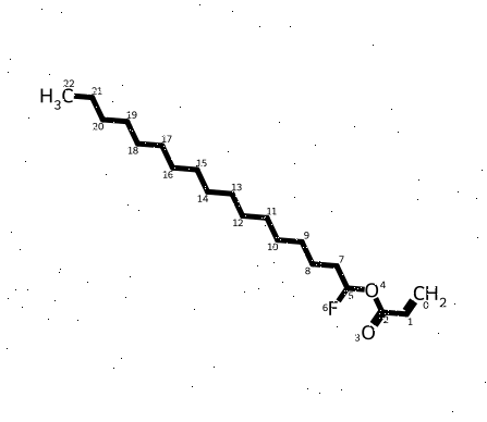 C=CC(=O)OC(F)CCCCCCCCCCCCCCCC